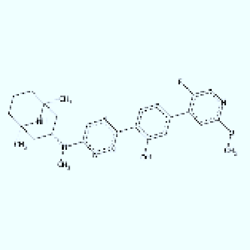 COc1cc(-c2ccc(-c3ncc(N(C)[C@H]4C[C@]5(C)CCC[C@](C)(C4)N5)nn3)c(O)c2)c(F)cn1